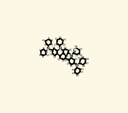 c1ccc(N(c2ccccc2)c2ccc3c(c2)N(c2ccccc2)c2ccc4c5c(ccc-3c25)-c2ccc(N(c3ccccc3)c3ccccc3)cc2N4c2ccccc2)cc1